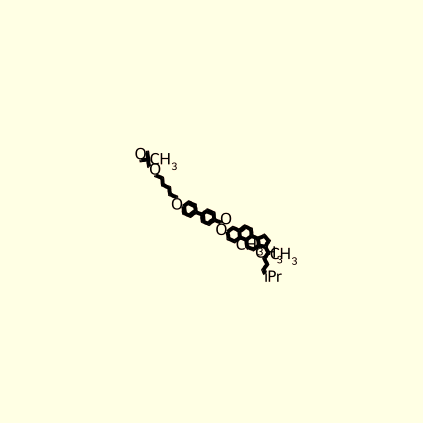 CC(C)CCCC(C)C1CCC2C3CC=C4CC(OC(=O)c5ccc(-c6ccc(OCCCCCCOCC7(C)COC7)cc6)cc5)CCC4(C)C3CCC12C